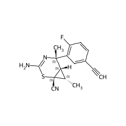 C#Cc1ccc(F)c([C@@]2(C)N=C(N)S[C@]3(C#N)[C@H]2[C@@H]3C)c1